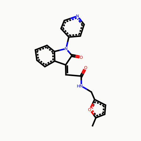 Cc1ccc(CNC(=O)/C=C2\C(=O)N(c3ccncc3)c3ccccc32)o1